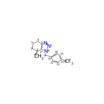 C=C1CCCc2nnn(Cc3ccc(C(F)(F)F)cc3)c21